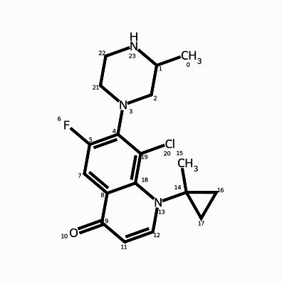 CC1CN(c2c(F)cc3c(=O)ccn(C4(C)CC4)c3c2Cl)CCN1